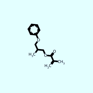 C=C(C)C(=O)OCC(C)COc1ccccc1